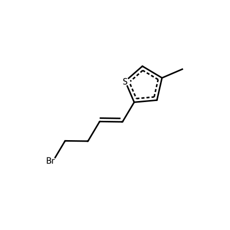 Cc1csc(C=CCCBr)c1